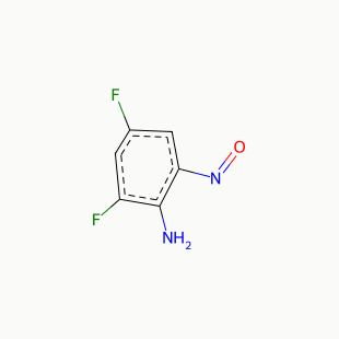 Nc1c(F)cc(F)cc1N=O